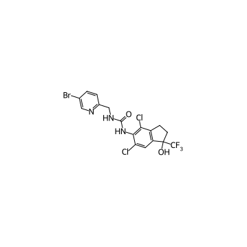 O=C(NCc1ccc(Br)cn1)Nc1c(Cl)cc2c(c1Cl)CCC2(O)C(F)(F)F